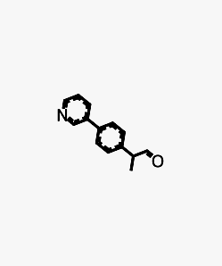 CC(C=O)c1ccc(-c2cccnc2)cc1